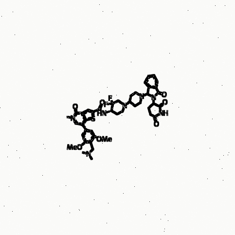 COc1cc(-c2cn(C)c(=O)c3cc(C(=O)N[C@@H]4CCN(C5CCN(C6c7ccccc7C(=O)N6C6CCC(=O)NC6=O)CC5)CC4(F)F)sc23)cc(OC)c1CN(C)C